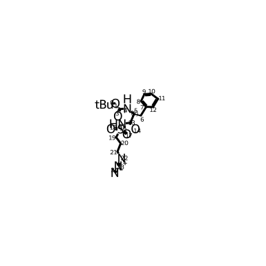 CC(C)(C)OC(=O)N[C@@H](Cc1ccccc1)C(=O)NS(=O)(=O)CCCN=[N+]=[N-]